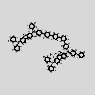 CC1(C)c2cc(N(c3ccccc3)c3ccccc3)ccc2-c2ccc(N(c3ccc(-c4ccccc4)cc3)c3ccc(-c4cccc(-c5ccc(-c6ccc(-c7ccc(N(c8ccccc8)c8ccc9c(c8)sc8cc(N(c%10ccccc%10)c%10ccccc%10)ccc89)cc7)cc6)cc5)c4)cc3)cc21